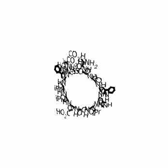 CC(C)C[C@@H]1NC(=O)[C@H](Cc2c[nH]cn2)NC(=O)[C@H](Cc2c[nH]c3ccccc23)NC(=O)[C@H](C)NC(=O)[C@@H](NC(=O)[C@@H](N)CC(=O)O)CSSC[C@@H](C(=O)N[C@H](C(=O)O)[C@@H](C)O)NC(=O)[C@H](Cc2c[nH]c3ccccc23)NC(=O)[C@H](C(C)C)NC(=O)[C@H](CC(C)C)NC(=O)[C@H](CCC(=O)O)NC(=O)CNC1=O